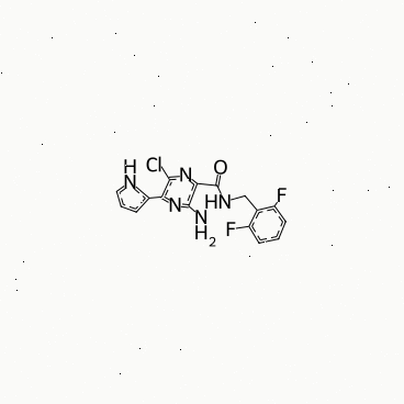 Nc1nc(-c2ccc[nH]2)c(Cl)nc1C(=O)NCc1c(F)cccc1F